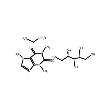 Cn1c(=O)c2c(ncn2C)n(C)c1=O.NCC(=O)O.OC[C@@H](O)[C@H](O)[C@@H](O)CO